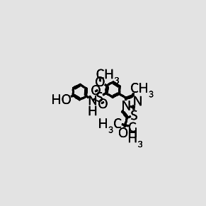 COc1ccc(-c2c(C)nc3sc(C(C)(C)O)cn23)cc1S(=O)(=O)Nc1cccc(O)c1